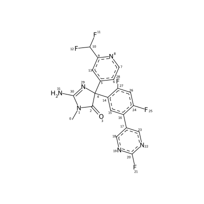 CN1C(=O)C(c2ccnc(C(F)F)c2)(c2cc(-c3cnc(F)nc3)c(F)cc2F)N=C1N